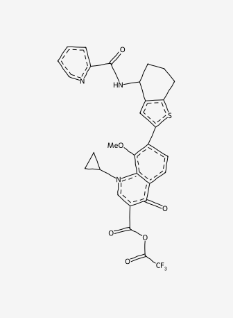 COc1c(-c2cc3c(s2)CCCC3NC(=O)c2ccccn2)ccc2c(=O)c(C(=O)OC(=O)C(F)(F)F)cn(C3CC3)c12